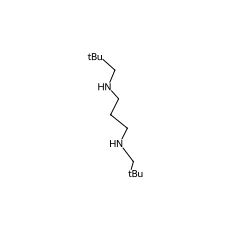 CC(C)(C)CNCCCNCC(C)(C)C